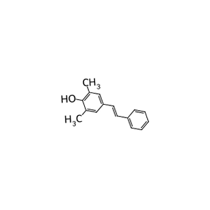 Cc1cc(/C=C/c2ccccc2)cc(C)c1O